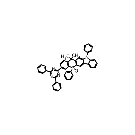 CC1(C)c2ccc(-c3nc(-c4ccccc4)nc(-c4ccccc4)n3)cc2P(=O)(c2ccccc2)c2cc3c4ccccc4n(-c4ccccc4)c3cc21